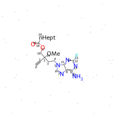 C#CC(CCn1cnc2c(N)nc(F)nc21)(COC(=O)CCCCCCC)OC